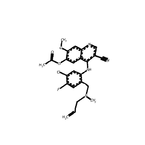 C=CCN(C)Cc1cc(F)c(Cl)cc1Nc1c(C#N)cnc2cc(OC)c(OC(C)=O)cc12